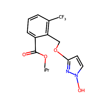 CC(C)OC(=O)c1cccc(C(F)(F)F)c1COc1ccn(O)n1